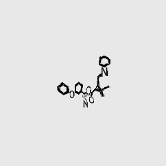 CC1(C)C(C=Nc2ccccc2)C1C(=O)O[C@H](C#N)c1cccc(Oc2ccccc2)c1